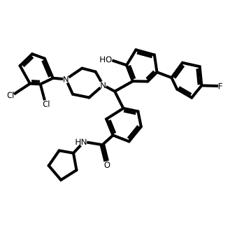 O=C(NC1CCCC1)c1cccc(C(c2cc(-c3ccc(F)cc3)ccc2O)N2CCN(c3cccc(Cl)c3Cl)CC2)c1